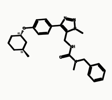 C[C@H]1CCC[C@H](Oc2ccc(-c3nnn(C)c3CNC(=O)N(C)Cc3ccccc3)cc2)C1